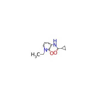 CCn1cccc(NC(=O)C2CC2)c1=O